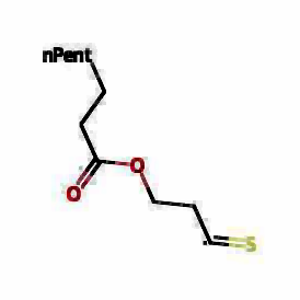 CCCCCCCC(=O)OCC[C]=S